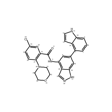 O=C(Nc1cc(-c2cccc3[nH]ccc23)cc2[nH]ncc12)c1nc(Cl)ccc1N1CCOCC1